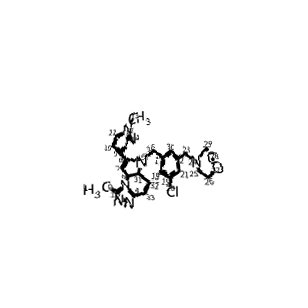 Cc1nnc2n1C1C=C(c3ccn(C)n3)N(Cc3cc(Cl)cc(CN4CCOCC4)c3)C1C=C2